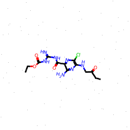 CCOC(=O)NC(=N)NC(=O)c1nc(Cl)c(NCC(=O)CC)nc1N